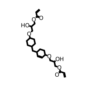 C=CC(=O)OCC(O)COC1C=CC(CC2CCC(OCC(O)COC(=O)C=C)CC2)CC1